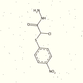 NNC(=O)C(Cl)Sc1ccc([N+](=O)[O-])cc1